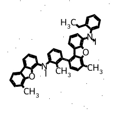 CCc1ccccc1N(I)c1cccc2c1oc1c(C)ccc(-c3cccc(N(I)c4cccc5c4oc4c(C)cccc45)c3C)c12